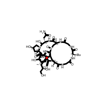 CC[C@H](C)[C@@H]1NC(=O)CNC(=O)[C@H]2Cc3c([nH]c4cc(O)ccc34)[S+]([O-])C[C@H](NC(=O)CNC1=O)C(=O)N[C@@H](CC(N)=O)C(O)N1C[C@H](O)C[C@H]1C(=O)N[C@@H]([C@@H](C)[C@@H](O)CO)C(=O)N2